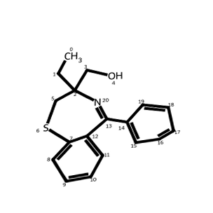 CCC1(CO)CSc2ccccc2C(c2ccccc2)=N1